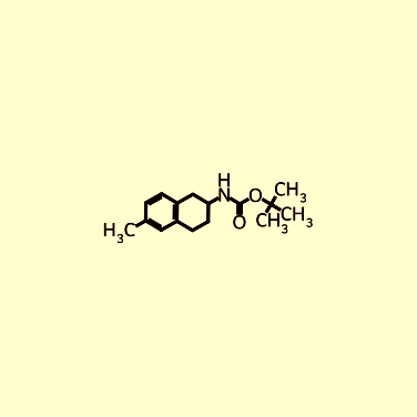 Cc1ccc2c(c1)CCC(NC(=O)OC(C)(C)C)C2